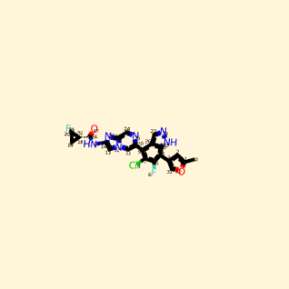 Cc1cc(-c2c(F)c(Cl)c(-c3cn4cc(NC(=O)[C@@H]5C[C@@H]5F)nc4cn3)c3cn[nH]c23)co1